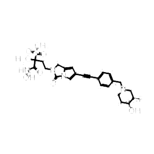 CC(CCN1Cc2cc(C#Cc3ccc(CN4CC[C@H](O)[C@H](F)C4)cc3)cn2C1=O)(C(=O)NO)S(C)(=O)=O